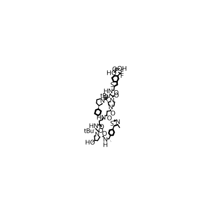 Cc1ncsc1-c1ccc([C@H](C)NC(=O)[C@@H]2C[C@@H](O)CN2C(=O)[C@@H](NC(=O)CCNC(=O)CC(=O)N2CCN(C(=O)[C@@H](NC(=O)c3cc4cc(C(F)(F)P(=O)(O)O)ccc4s3)C(C)(C)C)[C@H](C(=O)N3CCC[C@H](c4ccccc4)C3)C2)C(C)(C)C)cc1